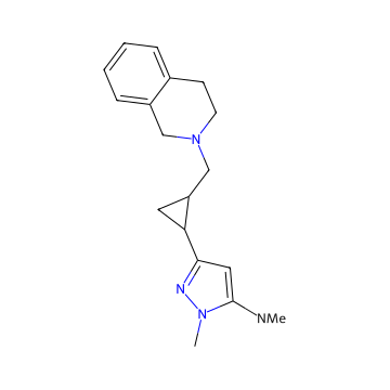 CNc1cc(C2CC2CN2CCc3ccccc3C2)nn1C